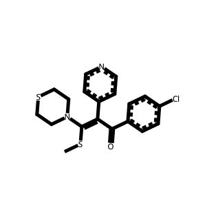 CS/C(=C(\C(=O)c1ccc(Cl)cc1)c1ccncc1)N1CCSCC1